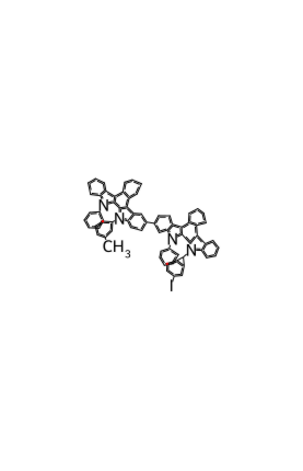 Cc1cccc(-n2c3ccc(-c4ccc5c6c7ccccc7c7c8ccccc8n(C8c9ccc(I)cc98)c7c6n(-c6ccccc6)c5c4)cc3c3c4ccccc4c4c5ccccc5n(-c5ccccc5)c4c32)c1